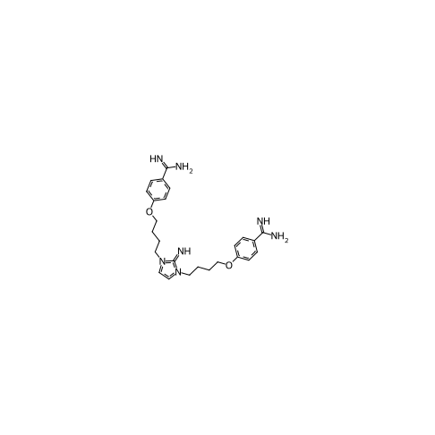 N=C(N)c1ccc(OCCCCn2ccn(CCCCOc3ccc(C(=N)N)cc3)c2=N)cc1